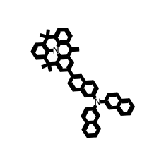 C=C1c2cccc3c2N2c4c1cc(-c1ccc5cc(N(c6ccc7ccccc7c6)c6ccc7ccccc7c6)ccc5c1)cc4C(C)(C)c1cccc(c12)C3(C)C